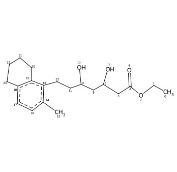 CCOC(=O)CC(O)CC(O)CCc1c(C)ccc2c1CCCC2